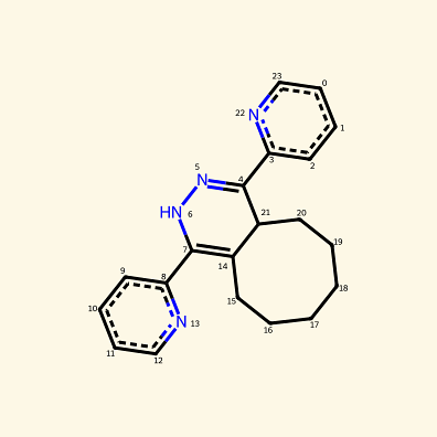 c1ccc(C2=NNC(c3ccccn3)=C3CCCCCCC23)nc1